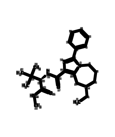 CCN1CCCn2c(-c3ccccc3)nc(C(=O)N[C@H](C(=O)NC)C(C)(C)C)c2C1